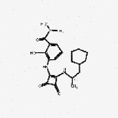 C[C@H](CC1CCCCC1)Nc1c(Nc2cccc(C(=O)N(C)C)c2O)c(=O)c1=O